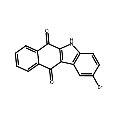 O=C1c2ccccc2C(=O)c2c1[nH]c1ccc(Br)cc21